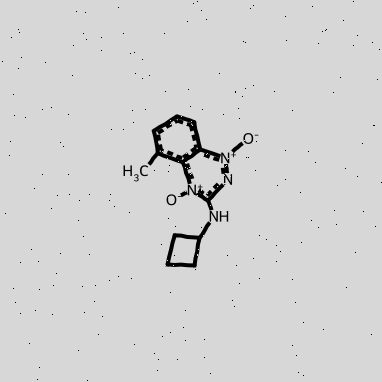 Cc1cccc2c1[n+]([O-])c(NC1CCC1)n[n+]2[O-]